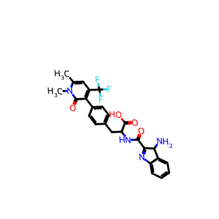 Cc1cc(C(F)(F)F)c(-c2ccc(CC(NC(=O)C3=Nc4ccccc4C3N)C(=O)O)cc2)c(=O)n1C